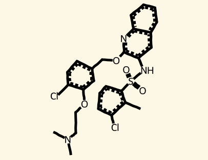 Cc1c(Cl)cccc1S(=O)(=O)Nc1cc2ccccc2nc1OCc1ccc(Cl)c(OCCN(C)C)c1